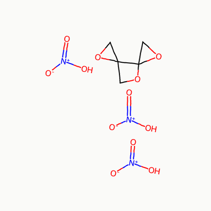 C1OC12COC21CO1.O=[N+]([O-])O.O=[N+]([O-])O.O=[N+]([O-])O